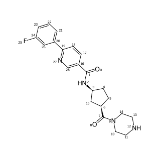 O=C(N[C@H]1CC[C@@H](C(=O)N2CCNCC2)C1)c1ccc(-c2cccc(F)c2)nc1